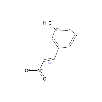 C[n+]1cccc(/C=C/[N+](=O)[O-])c1